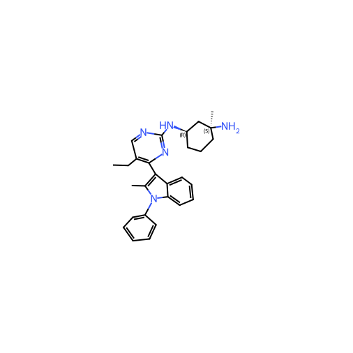 CCc1cnc(N[C@@H]2CCC[C@](C)(N)C2)nc1-c1c(C)n(-c2ccccc2)c2ccccc12